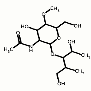 COC1C(CO)OC(OC(C(C)O)C(C)CO)C(NC(C)=O)C1O